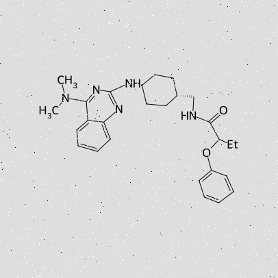 CCC(Oc1ccccc1)C(=O)NC[C@H]1CC[C@@H](Nc2nc(N(C)C)c3ccccc3n2)CC1